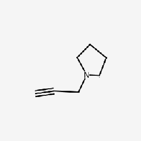 C#CCN1[CH]CCC1